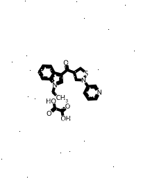 CCn1cc(C(=O)C2CSN(c3cccnc3)C2)c2ccccc21.O=C(O)C(=O)O